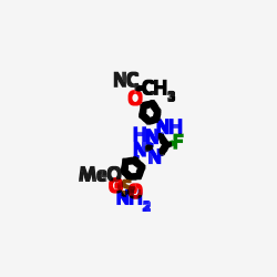 COc1cc(Nc2ncc(F)c(Nc3ccc(OC(C)C#N)cc3)n2)ccc1S(N)(=O)=O